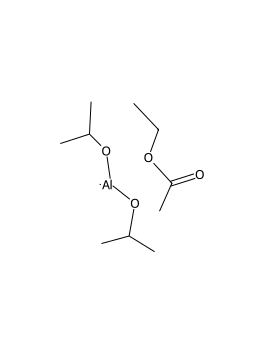 CC(C)[O][Al][O]C(C)C.CCOC(C)=O